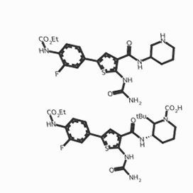 CCOC(=O)Nc1ccc(-c2cc(C(=O)NC3CCCNC3)c(NC(N)=O)s2)cc1F.CCOC(=O)Nc1ccc(-c2cc(C(=O)N[C@H]3CCCN(C(=O)O)C3C(C)(C)C)c(NC(N)=O)s2)cc1F